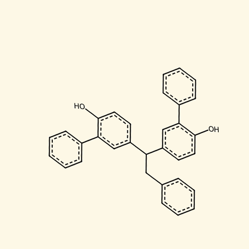 Oc1ccc(C(Cc2ccccc2)c2ccc(O)c(-c3ccccc3)c2)cc1-c1ccccc1